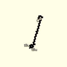 C=C(CCCCCCCCCCCCCCCCC(=O)CN1C(=C)CCC1=C)c1cc(C(C)(C)C)c(C)c(C(C)(C)C)c1